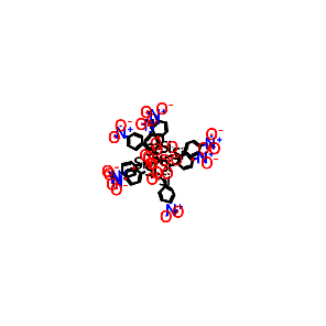 O=[N+]([O-])c1ccc([Si]23O[Si]4(c5ccc([N+](=O)[O-])cc5)O[Si]5(c6ccc([N+](=O)[O-])cc6)O[Si](c6ccc([N+](=O)[O-])cc6)(O2)O[Si]2(c6ccc([N+](=O)[O-])cc6)O[Si](c6ccc([N+](=O)[O-])cc6)(O3)O[Si](c3ccc([N+](=O)[O-])cc3)(O4)O[Si](c3ccc([N+](=O)[O-])cc3)(O5)O2)cc1